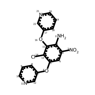 Nc1c([N+](=O)[O-])cc(Oc2cccnc2)c(Cl)c1Oc1cccnc1